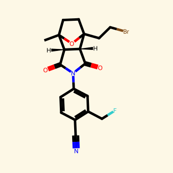 CC12CCC(CCBr)(O1)[C@@H]1C(=O)N(c3ccc(C#N)c(CF)c3)C(=O)[C@@H]12